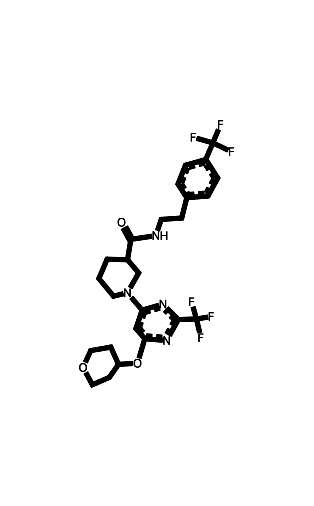 O=C(NCCc1ccc(C(F)(F)F)cc1)C1CCCN(c2cc(OC3CCOCC3)nc(C(F)(F)F)n2)C1